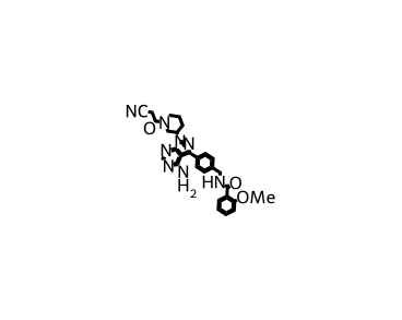 COc1ccccc1C(=O)NCc1ccc(-c2nn(C3CCCN(C(=O)CC#N)C3)c3ncnc(N)c23)cc1